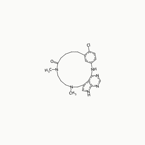 CN1CCCN(C)C(=O)CCCCc2cc(ccc2Cl)Nc2ncnc3[nH]cc(c23)C1